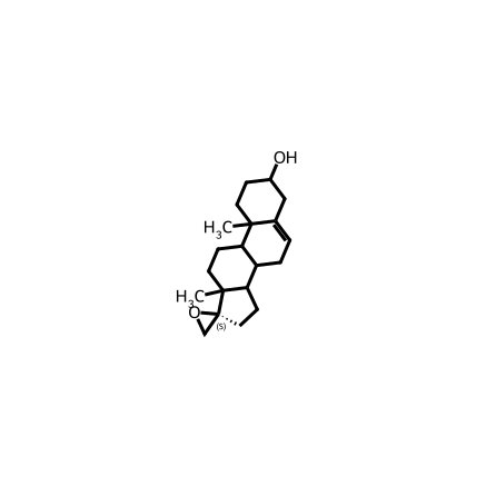 CC12CCC(O)CC1=CCC1C2CCC2(C)C1CC[C@@]21CO1